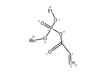 C=CC(=O)OP(=O)(OCC)OC(C)CC